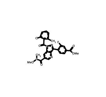 COC(=O)c1ccc(-c2nn(C(=O)c3c(C)cccc3Cl)c3cc(C(=O)N(C)OC)cnc23)c(F)c1